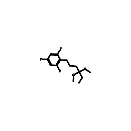 CC[Si](CCCc1c(F)cc(F)cc1F)(OC)OC